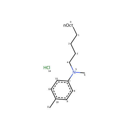 CCCCCCCCCCCCN(C)c1ccc(C)cc1.Cl